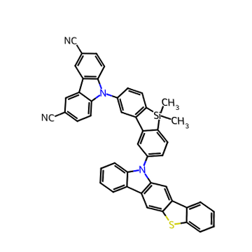 C[Si]1(C)c2ccc(-n3c4ccc(C#N)cc4c4cc(C#N)ccc43)cc2-c2cc(-n3c4ccccc4c4cc5sc6ccccc6c5cc43)ccc21